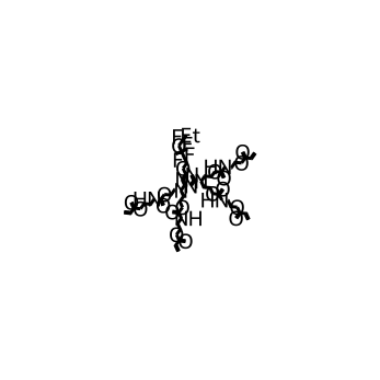 C=CC(=O)OCCNC(=O)OCCN(CCOC(=O)NCCOC(=O)C=C)c1nc(OCC(F)(F)C(C)(C)OC(F)(F)CC)nc(N(CCOC(=O)NCCOC(=O)C=C)CCOC(=O)NCCOC(=O)C=C)n1